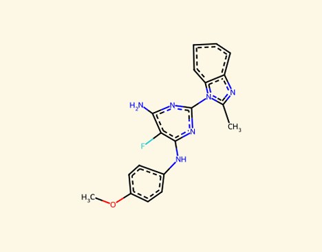 COc1ccc(Nc2nc(-n3c(C)nc4ccccc43)nc(N)c2F)cc1